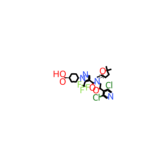 CC1(C)CC[C@@H](CN(CC(=O)c2c(Cl)cncc2Cl)C(=O)c2cnn([C@H]3CC[C@H](C(=O)O)CC3)c2C(F)(F)F)O1